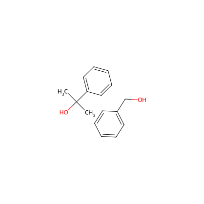 CC(C)(O)c1ccccc1.OCc1ccccc1